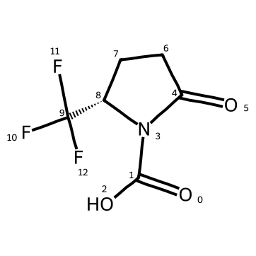 O=C(O)N1C(=O)CC[C@H]1C(F)(F)F